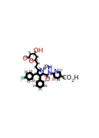 CC(C)n1c(CCC2CC(O)CC(=O)O2)c(-c2ccc(F)cc2)c(-c2ccccc2)c1C(=O)Nc1ccc(C(=O)O)cn1